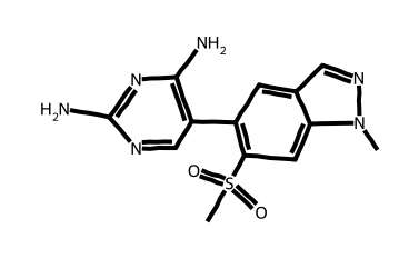 Cn1ncc2cc(-c3cnc(N)nc3N)c(S(C)(=O)=O)cc21